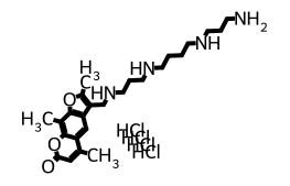 Cc1oc2c(C)c3oc(=O)cc(C)c3cc2c1CNCCCNCCCCNCCCN.Cl.Cl.Cl.Cl